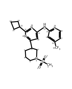 CS(=O)(=O)N1CCCC(c2cc(Nc3cc(C(F)(F)F)ccn3)nc(C3CCC3)n2)C1